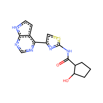 O=C(Nc1nc(-c2ncnc3[nH]ccc23)cs1)C1CCCC1O